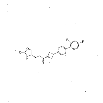 O=C1N[C@H](CCC(=O)N2CC(c3ccc(-c4ccc(F)cc4F)cc3)C2)CO1